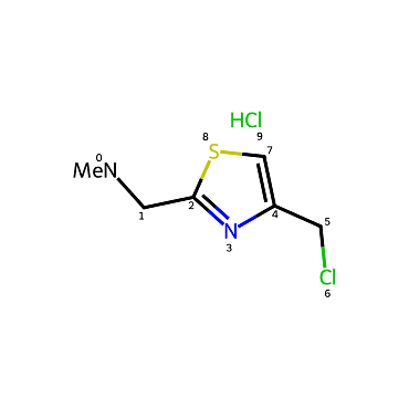 CNCc1nc(CCl)cs1.Cl